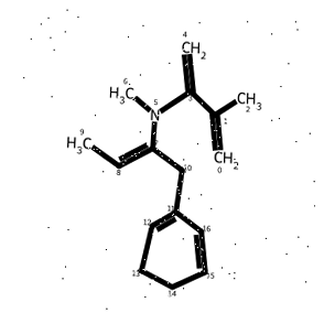 C=C(C)C(=C)N(C)/C(=C\C)CC1=CCCC=C1